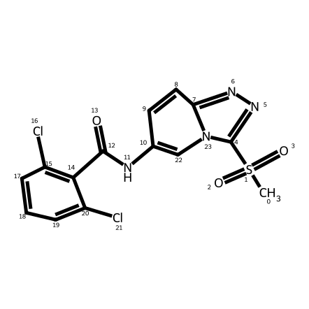 CS(=O)(=O)c1nnc2ccc(NC(=O)c3c(Cl)cccc3Cl)cn12